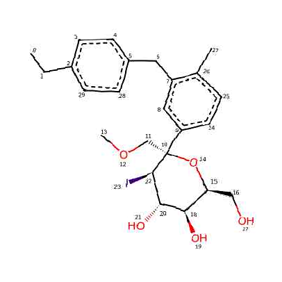 CCc1ccc(Cc2cc([C@@]3(COC)O[C@@H](CO)[C@@H](O)[C@H](O)[C@H]3I)ccc2C)cc1